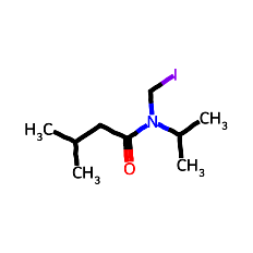 CC(C)CC(=O)N(CI)C(C)C